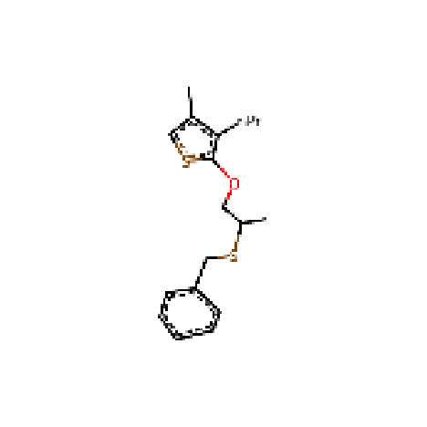 CCCc1c(C)csc1OCC(C)SCc1ccccc1